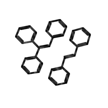 C(=C(c1ccccc1)c1ccccc1)c1ccccc1.C(=Cc1ccccc1)c1ccccc1